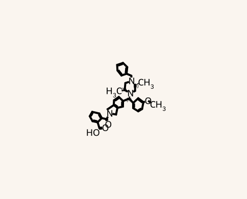 COc1cccc([C@@H](c2ccc3c(c2)CN(C(=O)c2ccccc2C(=O)O)C3)N2C[C@@H](C)N(Cc3ccccc3)C[C@@H]2C)c1